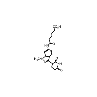 Cn1nc(C2CCC(=O)NC2=O)c2ccc(NC(=O)CCCCC(=O)O)cc21